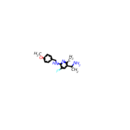 C=C(N)c1cc(F)c(NCc2ccc(OC)cc2)nc1C